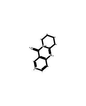 O=c1c2cnccc2nc2n1CCCC2